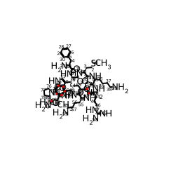 CSCC[C@H](NC(=O)[C@H](Cc1c[nH]c2ccccc12)NC(=O)[C@@H](N)Cc1ccccc1)C(=O)N[C@@H](CCCCN)C(=O)N[C@@H](CCCNC(=N)N)C(=O)N[C@@H](CCCCN)C(=O)N[C@@H](CCCCN)C(=O)N[C@H](C(=O)N1CCC[C@H]1C(N)=O)C(C)C